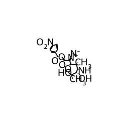 C[C@@H](O)[C@H]1C(O)N[C@@H]1[C@@H](C)C(=O)C(=[N+]=[N-])C(=O)OC(=O)c1ccc([N+](=O)[O-])cc1